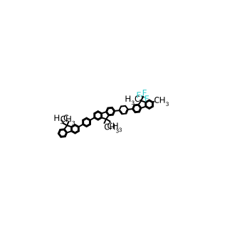 CCC1(CC)c2ccccc2-c2ccc(-c3ccc(-c4ccc5c(c4)C(CC)(CC)c4cc(C6=CC=C(c7ccc8c(c7)C(C)(C(F)(F)F)c7cc(C)ccc7-8)CC6)ccc4-5)cc3)cc21